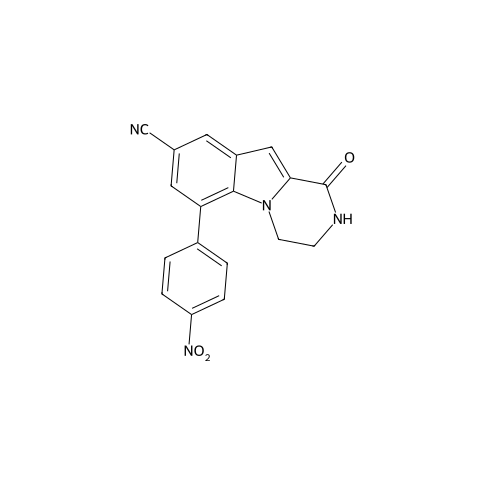 N#Cc1cc(-c2ccc([N+](=O)[O-])cc2)c2c(c1)cc1n2CCNC1=O